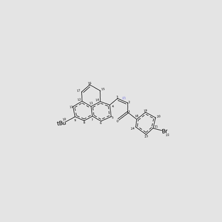 C=C(/C=C\c1ccc2cc(C(C)(C)C)cc3c2c1CC=C3)c1ccc(Br)cc1